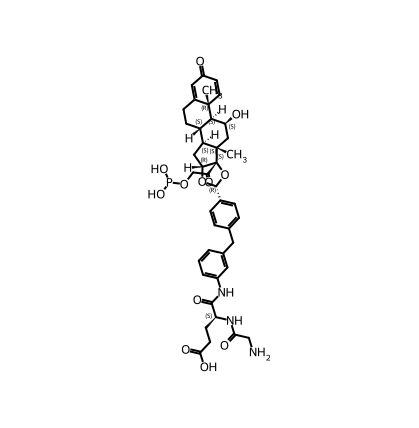 C[C@]12C=CC(=O)C=C1CC[C@@H]1[C@@H]2[C@@H](O)C[C@@]2(C)[C@H]1C[C@H]1O[C@@H](c3ccc(Cc4cccc(NC(=O)[C@H](CCC(=O)O)NC(=O)CN)c4)cc3)O[C@]12C(=O)COP(O)O